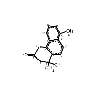 CC1(C)CC(=O)Oc2c1ccc1c(O)cccc21